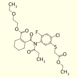 CCOCCOC(=O)C1=C(C(=O)N(C(=O)CC)c2cc(SCC(=O)OCC)c(Cl)cc2F)CCCC1